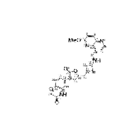 COc1ccc2nccc(CNC3CN(C[C@@H]4CN(c5ccc6c(c5)NC(=O)CO6)C(=O)O4)C3)c2n1